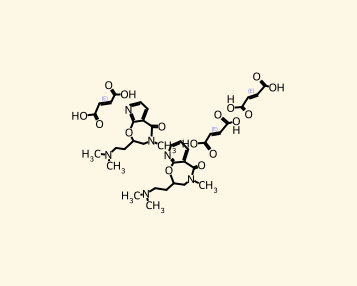 CN(C)CCC1CN(C)C(=O)c2cccnc2O1.CN(C)CCC1CN(C)C(=O)c2cccnc2O1.O=C(O)/C=C/C(=O)O.O=C(O)/C=C/C(=O)O.O=C(O)/C=C/C(=O)O